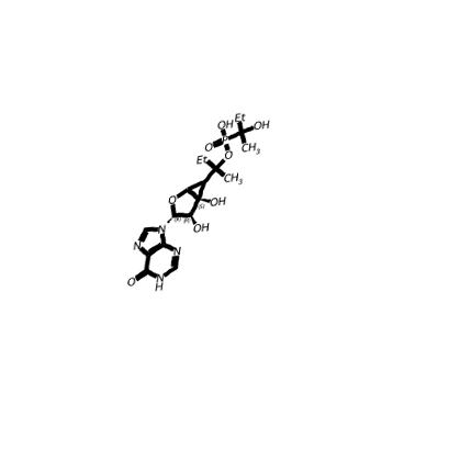 CCC(C)(OP(=O)(O)C(C)(O)CC)C1C2O[C@@H](n3cnc4c(=O)[nH]cnc43)[C@H](O)[C@]21O